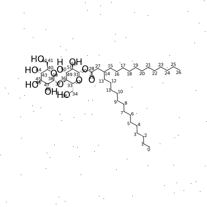 CCCCCCCCCCCCCCC(CCCCCCCCCCCC)CC(=O)O[C@@H]1O[C@H](CO)[C@@H](O[C@H]2O[C@H](CO)[C@@H](O)[C@H](O)[C@H]2O)[C@H](O)[C@H]1O